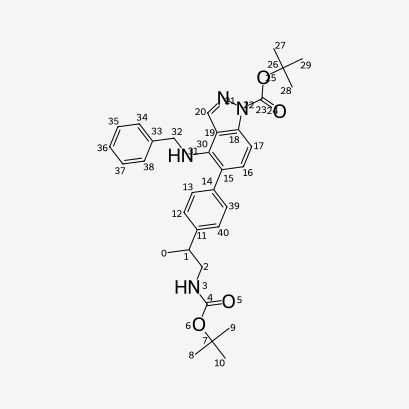 CC(CNC(=O)OC(C)(C)C)c1ccc(-c2ccc3c(cnn3C(=O)OC(C)(C)C)c2NCc2ccccc2)cc1